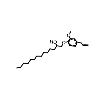 C=CCc1ccc(OCC(O)CCCCCCCCCCCC)c(OC)c1